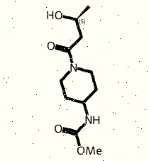 COC(=O)NC1CCN(C(=O)C[C@H](C)O)CC1